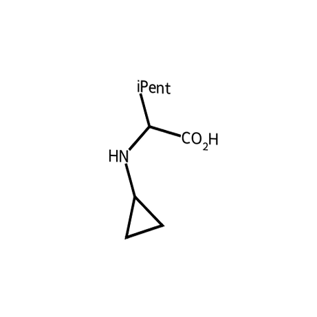 CCCC(C)C(NC1CC1)C(=O)O